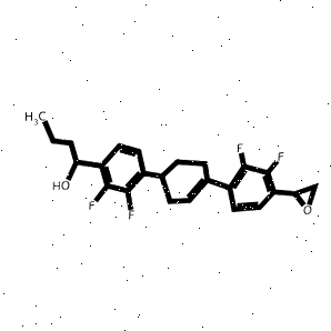 CCCC(O)c1ccc(C2CC=C(c3ccc(C4CO4)c(F)c3F)CC2)c(F)c1F